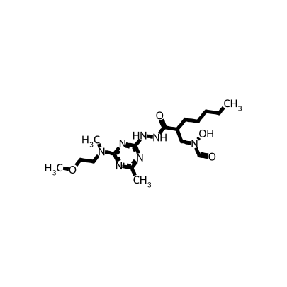 CCCCCC(CN(O)C=O)C(=O)NNc1nc(C)nc(N(C)CCOC)n1